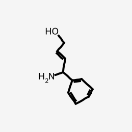 NC(C=CCO)c1ccccc1